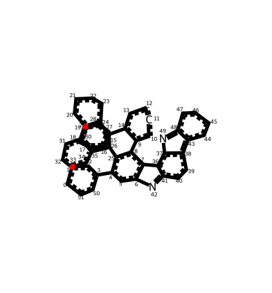 c1ccc(-c2cc3c(c(-c4ccccc4-c4cccc5ccccc45)c2-c2cccc4ccccc24)-c2c4c(ccc2=N3)=c2ccccc2=N4)cc1